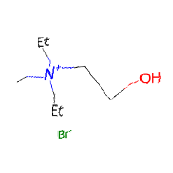 CC[N+](C)(CC)CCO.[Br-]